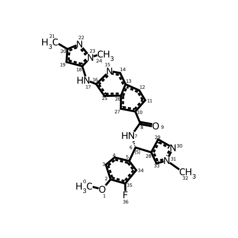 COc1ccc([C@H](NC(=O)c2ccc3cnc(Nc4cc(C)nn4C)cc3c2)c2cnn(C)c2)cc1F